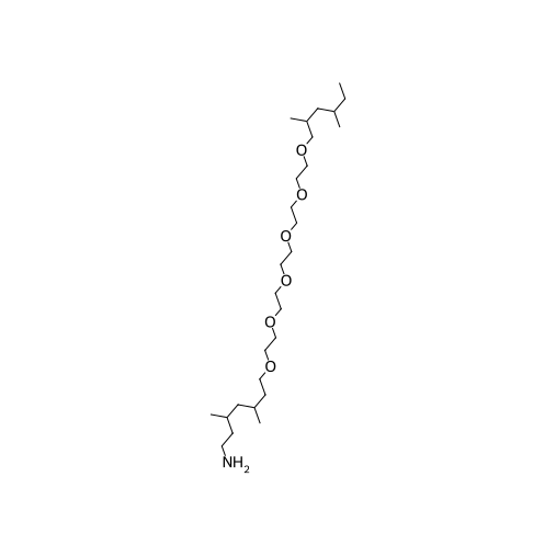 CCC(C)CC(C)COCCOCCOCCOCCOCCOCCC(C)CC(C)CCN